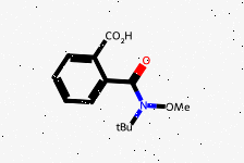 CON(C(=O)c1ccccc1C(=O)O)C(C)(C)C